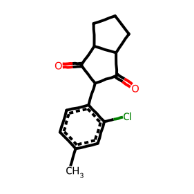 Cc1ccc(C2C(=O)C3CCCC3C2=O)c(Cl)c1